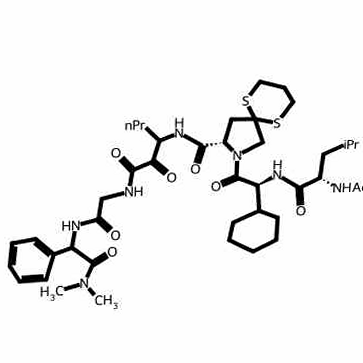 CCCC(NC(=O)[C@@H]1CC2(CN1C(=O)[C@@H](NC(=O)[C@H](CC(C)C)NC(C)=O)C1CCCCC1)SCCCS2)C(=O)C(=O)NCC(=O)NC(C(=O)N(C)C)c1ccccc1